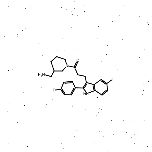 NCC1CCCN(C(=O)CCc2c(-c3ccc(F)cc3)[nH]c3ccc(F)cc23)C1